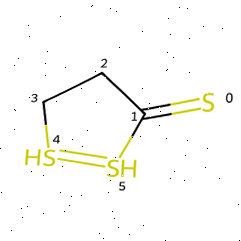 S=C1CC[SH]=[SH]1